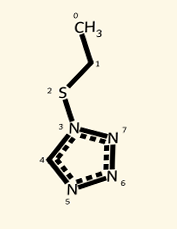 CCSn1[c]nnn1